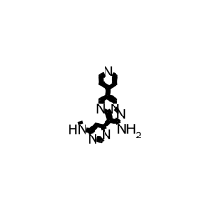 CNc1cc(-c2c(N)nn3cc(-c4ccncc4)cnc23)ncn1